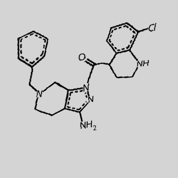 Nc1nn(C(=O)C2CCNc3c(Cl)cccc32)c2c1CCN(Cc1ccccc1)C2